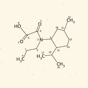 CCCN(C(=O)C(=O)O)C1CC(C)CCC1C(C)C